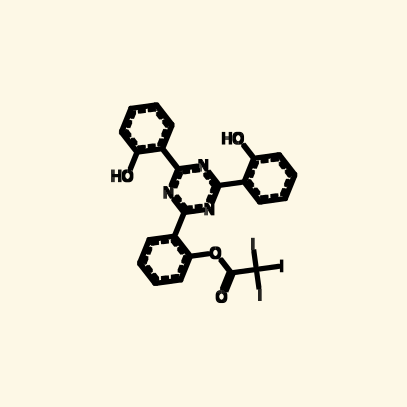 O=C(Oc1ccccc1-c1nc(-c2ccccc2O)nc(-c2ccccc2O)n1)C(I)(I)I